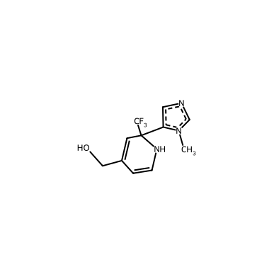 Cn1cncc1C1(C(F)(F)F)C=C(CO)C=CN1